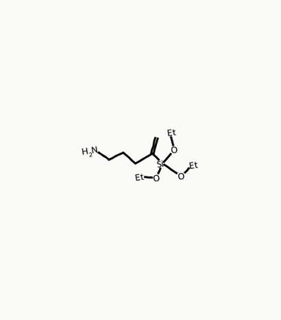 C=C(CCCN)[Si](OCC)(OCC)OCC